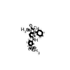 C[C@@H]1C(=O)N(C)c2ccc(Nc3cccc(S(C)(=O)=O)c3)nc2N1C1CCCCCC1